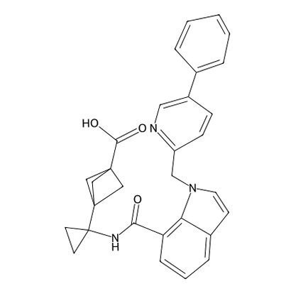 O=C(NC1(C23CC(C(=O)O)(C2)C3)CC1)c1cccc2ccn(Cc3ccc(-c4ccccc4)cn3)c12